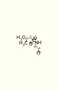 CC(C)CS(=O)(=O)NCC[O]